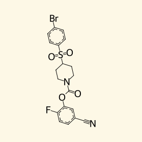 N#Cc1ccc(F)c(OC(=O)N2CCC(S(=O)(=O)c3ccc(Br)cc3)CC2)c1